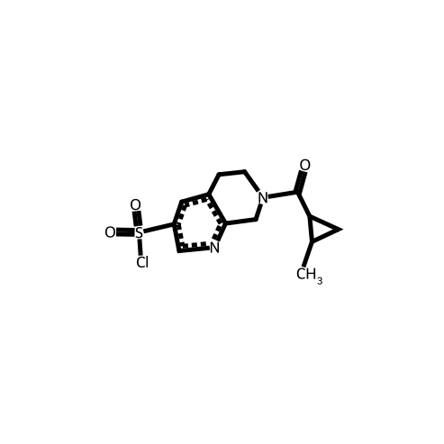 CC1CC1C(=O)N1CCc2cc(S(=O)(=O)Cl)cnc2C1